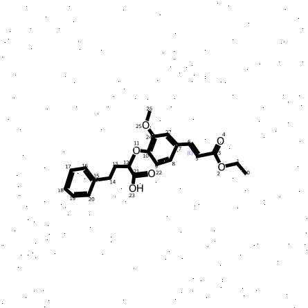 CCOC(=O)/C=C/c1ccc(OC(CCc2ccccc2)C(=O)O)c(OC)c1